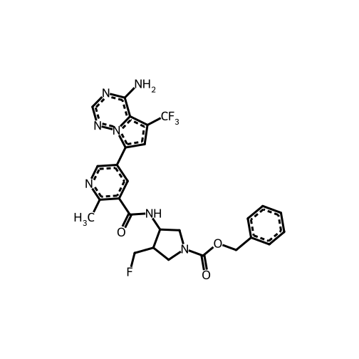 Cc1ncc(-c2cc(C(F)(F)F)c3c(N)ncnn23)cc1C(=O)NC1CN(C(=O)OCc2ccccc2)CC1CF